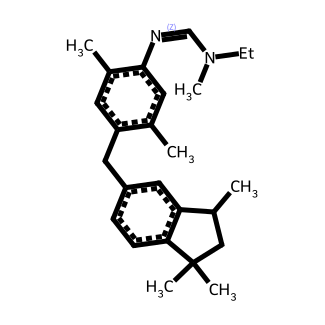 CCN(C)/C=N\c1cc(C)c(Cc2ccc3c(c2)C(C)CC3(C)C)cc1C